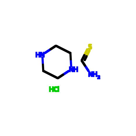 C1CNCCN1.Cl.NC=S